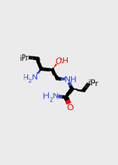 CC(C)C[C@H](NC[C@@H](O)[C@@H](N)CC(C)C)C(N)=O